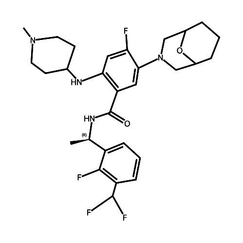 C[C@@H](NC(=O)c1cc(N2CC3CCCC(C2)O3)c(F)cc1NC1CCN(C)CC1)c1cccc(C(F)F)c1F